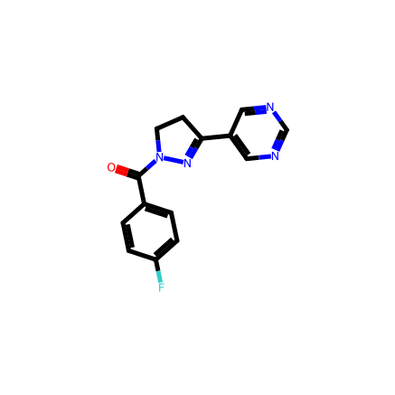 O=C(c1ccc(F)cc1)N1CCC(c2cncnc2)=N1